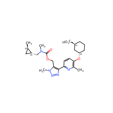 Cc1nc(-c2nnn(C)c2COC(=O)N(C)C[C@@H]2C[C@H]2C)ccc1O[C@H]1CCC[C@H](C(=O)O)C1